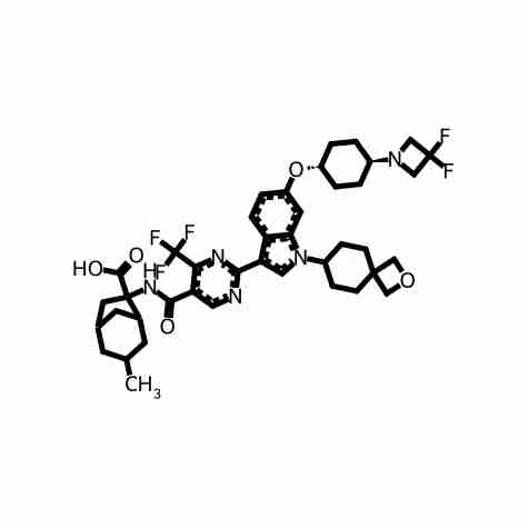 CC1CC2CC(C1)C(NC(=O)c1cnc(-c3cn(C4CCC5(CC4)COC5)c4cc(O[C@H]5CC[C@H](N6CC(F)(F)C6)CC5)ccc34)nc1C(F)(F)F)(C(=O)O)C2